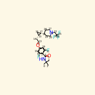 CC(C)(C)NC(=O)c1c(F)cc(OCC[C@@H]2C[C@@H]2C2CCN(CC(F)(F)F)CC2)cc1F